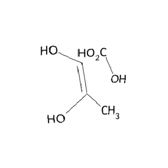 CC(O)=CO.O=C(O)O